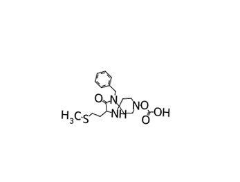 CSCCC1NC2(CCN(OC(=O)O)CC2)N(Cc2ccccc2)C1=O